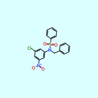 O=[N+]([O-])c1cc(Cl)cc(N(Cc2ccccc2)S(=O)(=O)c2ccccc2)c1